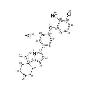 CN(C)C1(c2nc(-c3ccc(Oc4cccc(Cl)c4C#N)cc3)cs2)CCOCC1.Cl